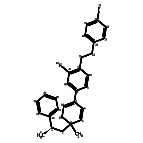 C[C@@H](CC1(C)C=CC(c2ccc(CCc3ccc(F)cc3)c(F)c2)=CC1)c1ccccc1